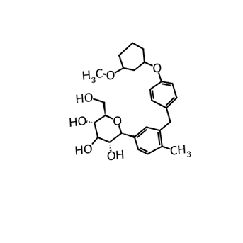 COC1CCCC(Oc2ccc(Cc3cc([C@@H]4O[C@H](CO)[C@@H](O)C(O)[C@H]4O)ccc3C)cc2)C1